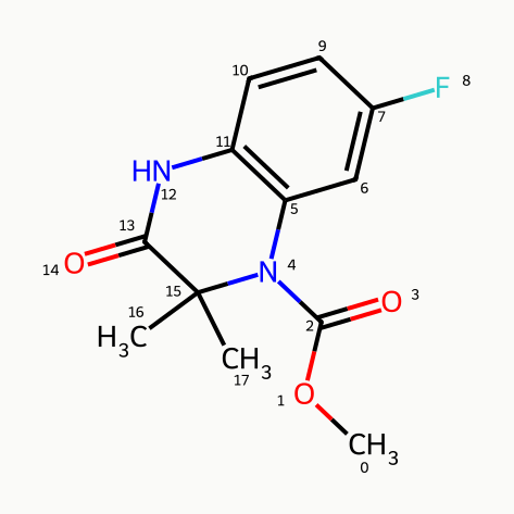 COC(=O)N1c2cc(F)ccc2NC(=O)C1(C)C